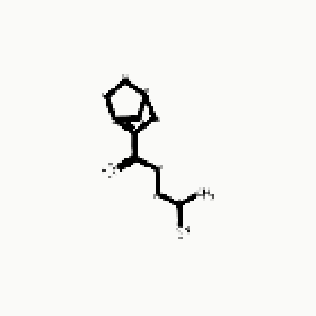 C=C(CCC(C)C#N)C1=C2CCC(C2)C1